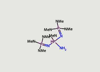 CNP(=N[PH](N)(N=P(NC)(NC)NC)NC)(NC)NC